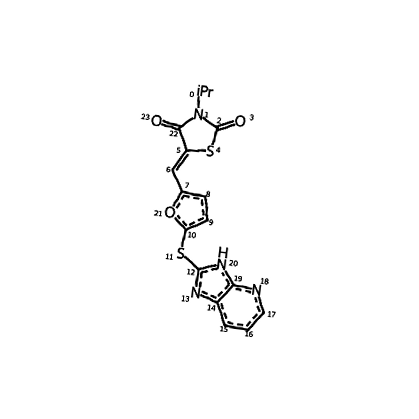 CC(C)N1C(=O)S/C(=C\c2ccc(Sc3nc4cccnc4[nH]3)o2)C1=O